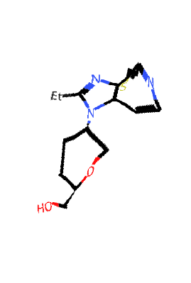 CCC1=NC23SC=CC2=NC=CC3N1[C@H]1CC[C@H](CO)OC1